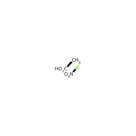 CC(=O)O.O=[N+]([O-])F